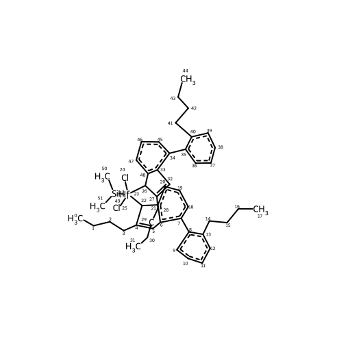 CCCCC1=Cc2c(-c3ccccc3CCCC)cccc2[CH]1[Hf]([Cl])([Cl])([CH]1C(CCCC)=Cc2c(-c3ccccc3CCCC)cccc21)[SiH](C)C